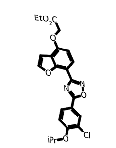 CCOC(=O)COc1ccc(-c2noc(-c3ccc(OC(C)C)c(Cl)c3)n2)c2occc12